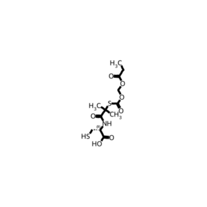 CCC(=O)OCOC(=O)SC(C)(C)C(=O)N[C@@H](CS)C(=O)O